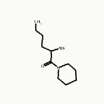 CCCCC([NH])C(=O)N1CCCCC1